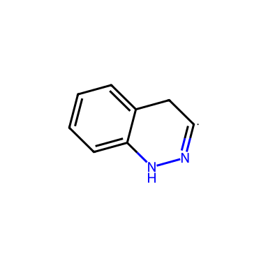 [C]1=NNc2ccccc2C1